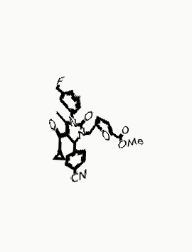 COC(=O)c1ccc(CN2C(=O)N(c3cccc(CF)c3)C(C)=C(C(=O)C3CC3)C2c2ccc(C#N)cc2)o1